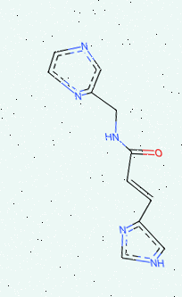 O=C(C=Cc1c[nH]cn1)NCc1cnccn1